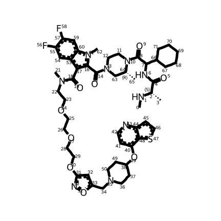 CN[C@@H](C)C(=O)NC(C(=O)N1CCN(C(=O)c2c(C(=O)N(C)CCOCCOCCOc3cc(CN4CCC(Oc5ccnc6ccsc56)CC4)on3)c3cc(F)c(F)cc3n2C)C[C@H]1C)C1CCCCC1